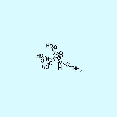 NCCOCCNC(=O)CN(CCN(CC(=O)O)CC(=O)O)CCN(CC(=O)O)CC(=O)O